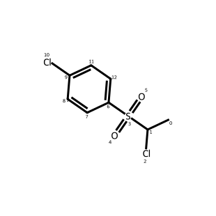 CC(Cl)S(=O)(=O)c1c[c]c(Cl)cc1